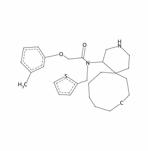 Cc1cccc(OCC(=O)N(Cc2cccs2)C2CNCCC23CCCCCCCC3)c1